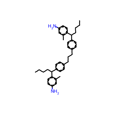 CCCCC(c1ccc(CCCc2ccc(C(CCCC)c3ccc(N)cc3C)cc2)cc1)c1ccc(N)cc1C